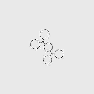 C1CCCCC(N(C2CCCCCCCCC2)C2CCCCC(N(C3CCCCCCCC3)C3CCCCCCCC3)CCC2)CCCC1